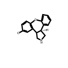 Clc1ccc2c(c1)C1CNC[C@@H]1c1ccccc1O2